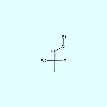 CCOPC(F)(F)C(F)(F)F